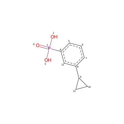 O=P(O)(O)c1cccc(C2CC2)c1